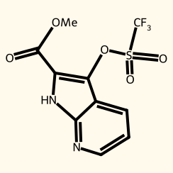 COC(=O)c1[nH]c2ncccc2c1OS(=O)(=O)C(F)(F)F